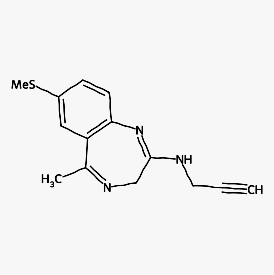 C#CCNC1=Nc2ccc(SC)cc2C(C)=NC1